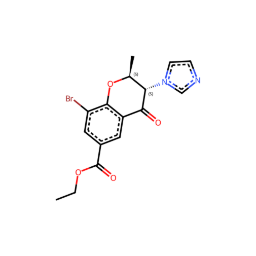 CCOC(=O)c1cc(Br)c2c(c1)C(=O)[C@@H](n1ccnc1)[C@H](C)O2